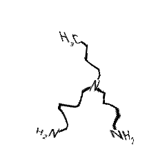 CCCCN(CCCN)CCCCN